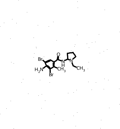 CCN1CCCC1NC(=O)c1cc(Br)c(N)c(Br)c1C